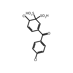 O=C(C1=CC(S(=O)(=O)O)(S(=O)(=O)O)C(Cl)C=C1)c1ccc(Cl)cc1